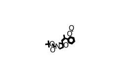 COCOc1cccc2c1C(C)=CC1(CCN(C(=O)OC(C)(C)C)C1)O2